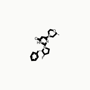 C[C@@H]1CN(c2cc(=O)[nH]c(N3CC[C@@H](F)[C@@H]3Cc3ccccc3)n2)CCO1